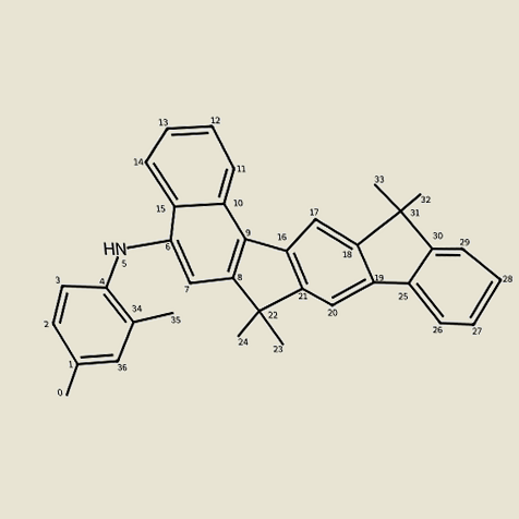 Cc1ccc(Nc2cc3c(c4ccccc24)-c2cc4c(cc2C3(C)C)-c2ccccc2C4(C)C)c(C)c1